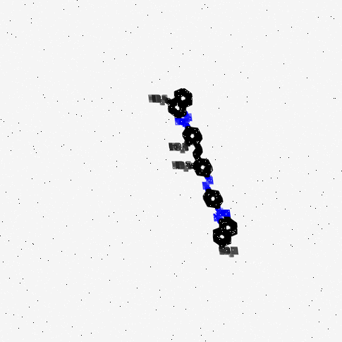 O=S(=O)(O)c1ccc2c(ccc3nn(-c4ccc(N=Nc5ccc(C=Cc6ccc(-n7nc8cc(S(=O)(=O)O)c9ccccc9c8n7)cc6S(=O)(=O)O)c(S(=O)(=O)O)c5)cc4)nc32)c1